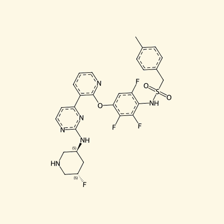 Cc1ccc(CS(=O)(=O)Nc2c(F)cc(Oc3ncccc3-c3ccnc(N[C@@H]4CNC[C@@H](F)C4)n3)c(F)c2F)cc1